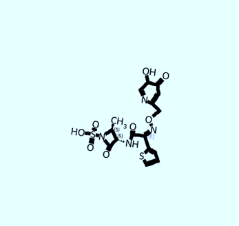 C[C@H]1[C@H](NC(=O)/C(=N\OCC2=CC(=O)C(O)C=N2)c2cccs2)C(=O)N1S(=O)(=O)O